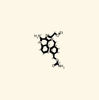 CCOCc1nc2c(N)nc3ccccc3c2n1Cc1ccc(COC(N)=O)cc1